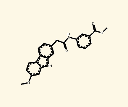 COC(=O)c1cccc(NC(=O)Cc2ccc3c(c2)[nH]c2cc(OC)ccc23)c1